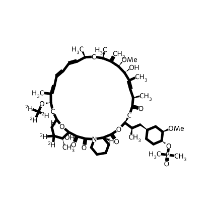 [2H]C([2H])([2H])O[C@H]1C[C@@H]2CC([2H])([2H])[C@@H](C)[C@@](O)(O2)C(=O)C(=O)N2CCCC[C@H]2C(=O)O[C@H]([C@H](C)C[C@@H]2CC[C@@H](OP(C)(C)=O)[C@H](OC)C2)CC(=O)[C@H](C)/C=C(\C)[C@@H](O)[C@@H](OC)C(=C)[C@H](C)C[C@H](C)/C=C/C=C/C=C/1C